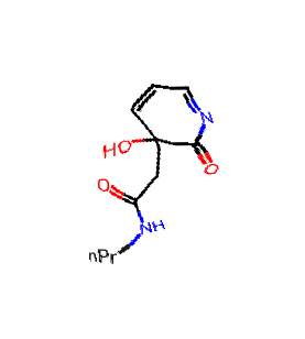 CCCNC(=O)CC1(O)C=CC=NC1=O